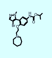 CC(C)OC(=O)Nc1ccc(OCCN2CCCCCC2)c(-c2c(Br)cnn2C)c1